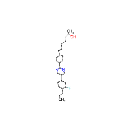 C=CCc1ccc(-c2cnc(-c3ccc(C=CCCCC(C)O)cc3)nc2)cc1F